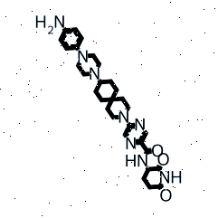 Nc1ccc(N2CCN(C3CCC4(CC3)CCN(c3cnc(C(=O)NC5CCC(=O)NC5=O)cn3)CC4)CC2)cc1